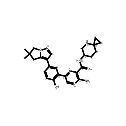 CC1(C)Cc2c(-c3ccc(O)c(-c4cnc(N)c(C(=O)NC5CCC6(CC6)NC5)n4)c3)cnn2C1